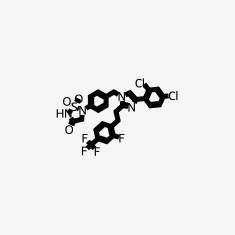 O=C1CN(c2ccc(Cn3cc(-c4ccc(Cl)cc4Cl)nc3CCc3ccc(C(F)(F)F)cc3F)cc2)S(=O)(=O)N1